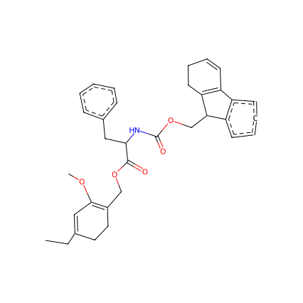 CCC1=CC(OC)=C(COC(=O)C(Cc2ccccc2)NC(=O)OCC2C3=C(C=CCC3)c3ccccc32)CC1